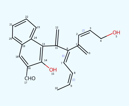 C=C(/C=C\CO)/C(=C\C=C/C)C(=C)c1c(O)c(C=O)cc2ccccc12